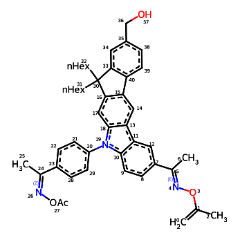 C=C(C)O/N=C(\C)c1ccc2c(c1)c1cc3c(cc1n2-c1ccc(/C(C)=N\OC(C)=O)cc1)C(CCCCCC)(CCCCCC)c1cc(CO)ccc1-3